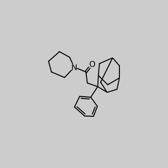 O=C(CC1(c2ccccc2)C2CC3CC(C2)CC1C3)N1CCCCC1